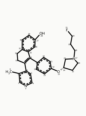 Cc1cnccc1C1=C(c2ccc(O[C@H]3CCN(CCCF)C3)cc2)c2cc(O)ccc2CC1